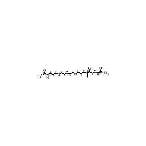 CC(=O)NCCCOCCOCCOCCCNC(=O)COCC(N)=O